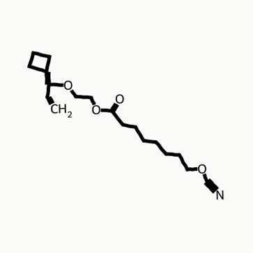 C=CC(OCCOC(=O)CCCCCCCOC#N)=C1CCC1